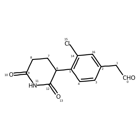 O=CCc1ccc(C2CCC(=O)NC2=O)c(Cl)c1